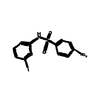 O=[N+]([O-])c1ccc(S(=O)(=O)Nc2cccc(I)c2)cc1